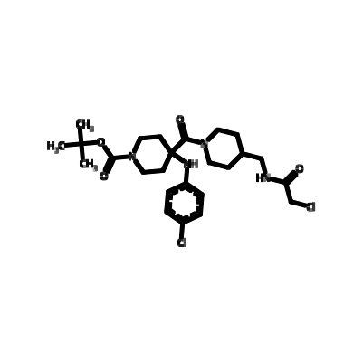 CC(C)(C)OC(=O)N1CCC(Nc2ccc(Cl)cc2)(C(=O)N2CCC(CNC(=O)CCl)CC2)CC1